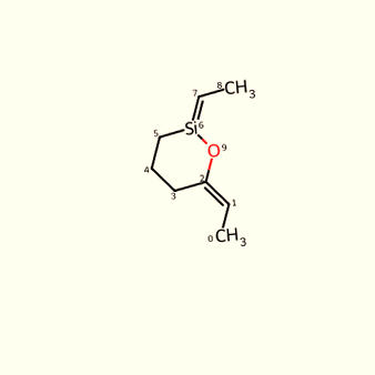 CC=C1CCC[Si](=CC)O1